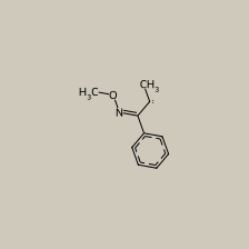 C[C]C(=NOC)c1ccccc1